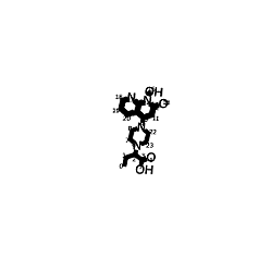 CCC(C(=O)O)N1CCN(c2cc(=O)n(O)c3ncccc23)CC1